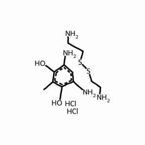 Cc1c(O)c(N)cc(N)c1O.Cl.Cl.NCCSSCCN